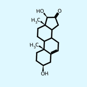 C[C@]12CC[C@H](O)CC1=CCC1C2CC[C@@]2(C)C1CC(=O)[C@@H]2O